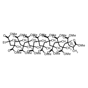 CCC(C)(CC(C)(CC(C)(CC(C)(CC(C)(CC(C)(CC(C)(CC(C)(CC(C)(CC(C)(CC(C)(CC(C)(CC(C)(CC(C)C(=O)OC)C(=O)OC)C(=O)OC)C(=O)OC)C(=O)OC)C(=O)OC)C(=O)OC)C(=O)OC)C(=O)OC)C(=O)OC)C(=O)OC)C(=O)OC)C(=O)OC)C(=O)OC